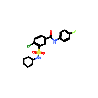 O=C(Nc1ccc(F)cc1)c1ccc(Cl)c(S(=O)(=O)NC2CCCCC2)c1